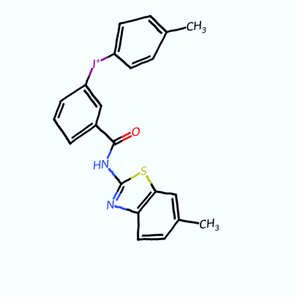 Cc1ccc([I+]c2cccc(C(=O)Nc3nc4ccc(C)cc4s3)c2)cc1